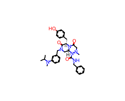 CC(C)N(C)c1cccc(CN2C[C@H]3N(C(=O)CN(C)N3C(=O)NCc3ccccc3)[C@@H](Cc3ccc(O)cc3)C2=O)c1